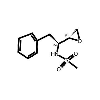 CS(=O)(=O)N[C@@H](Cc1ccccc1)[C@@H]1CO1